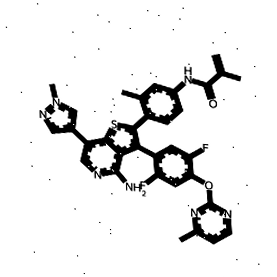 C=C(C)C(=O)Nc1ccc(-c2sc3c(-c4cnn(C)c4)cnc(N)c3c2-c2cc(F)c(Oc3nccc(C)n3)cc2F)c(C)c1